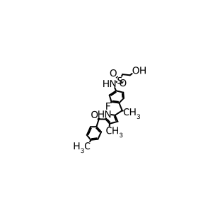 Cc1ccc(C(=O)c2[nH]c(C(C)c3ccc(NS(=O)(=O)CCO)cc3F)cc2C)cc1